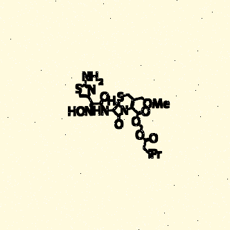 COCC1=C(C(=O)OCOC(=O)CC(C)C)N2C(=O)C(NC(=O)C(=NO)c3csc(N)n3)[C@@H]2SC1